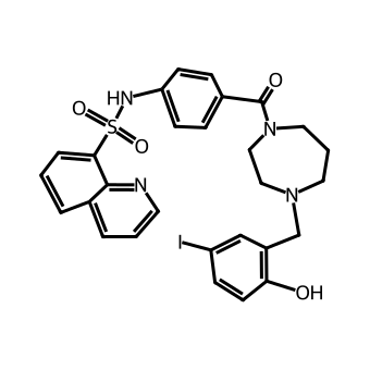 O=C(c1ccc(NS(=O)(=O)c2cccc3cccnc23)cc1)N1CCCN(Cc2cc(I)ccc2O)CC1